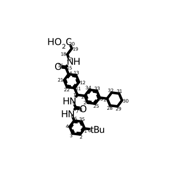 CC(C)(C)c1cccc(NC(=O)NC(c2ccc(C(=O)NCCC(=O)O)cc2)c2ccc(C3CCCCC3)cc2)c1